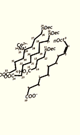 CCCCCCCC/C=C\CCCCCCCC(=O)[O-].CCCCCCCCCCCCCC(=O)O.CCCCCCCCCCCCCCCCCC(=O)[O-].CCCCCCCCCCCCCCCCCC(=O)[O-].[Co+2].[Na+]